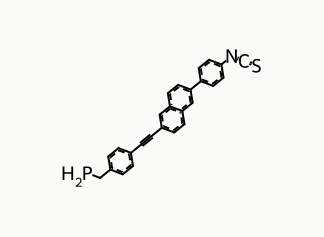 PCc1ccc(C#Cc2ccc3cc(-c4ccc(N=C=S)cc4)ccc3c2)cc1